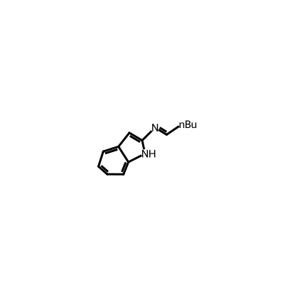 CCCCC=Nc1cc2ccccc2[nH]1